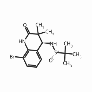 CC1(C)C(=O)Nc2c(Br)cccc2[C@@H]1N[S@@+]([O-])C(C)(C)C